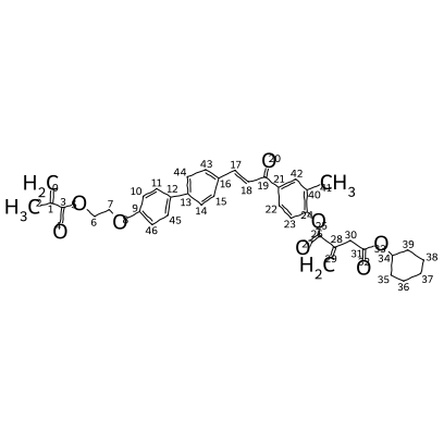 C=C(C)C(=O)OCCOc1ccc(-c2ccc(/C=C/C(=O)c3ccc(OC(=O)C(=C)CC(=O)OC4CCCCC4)c(C)c3)cc2)cc1